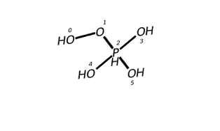 OO[PH](O)(O)O